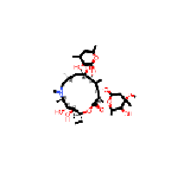 CC[C@H]1OC(=O)[C@H](C)[C@@H](OC2CC(C)(OC)C(O)C(C)O2)C(C)[C@@H](OC2OC(C)CC(C)C2O)[C@](C)(O)C[C@@H](C)CN(C)[C@H](C)[C@@H](O)[C@]1(C)O